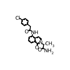 C[C@H](C(N)=O)n1ccc2c(NC(=O)Cc3ccc(Cl)cc3)cccc2c1=O